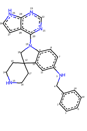 c1ccc(CNc2ccc3c(c2)C2(CCNCC2)CN3c2ncnc3[nH]ccc23)cc1